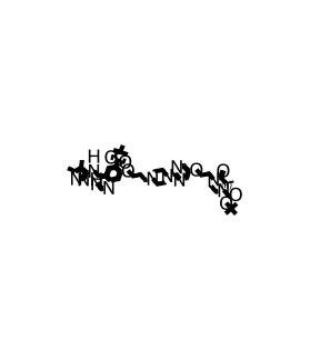 Cc1n[nH]c(Nc2ncnc3cc(OCCCN4CCN(c5ncc(OCCN6CCN(C(=O)OC(C)(C)C)[C@H](C)C6=O)cn5)CC4)c(S(=O)(=O)C(C)(C)C)cc23)c1C